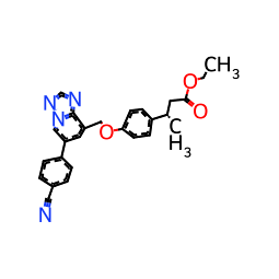 CCOC(=O)C[C@H](C)c1ccc(OCc2cc(-c3ccc(C#N)cc3)cn3ncnc23)cc1